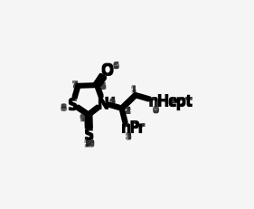 CCCCCCCCC(CCC)N1C(=O)CSC1=S